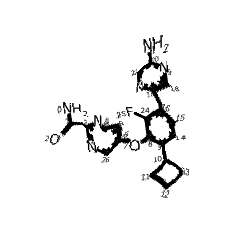 NC(=O)c1ncc(Oc2c(C3CCC3)ccc(-c3cnc(N)cn3)c2F)cn1